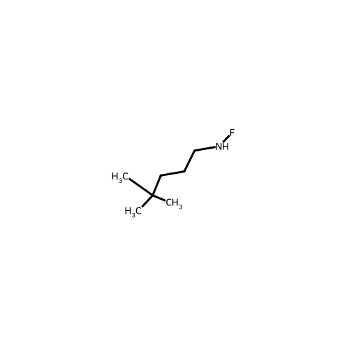 CC(C)(C)CCCNF